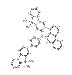 CC1(C)c2ccccc2-c2ccc(-c3ccc(N(c4ccc5c(c4)C(C)(C)c4ccccc4-5)c4cc5ccccc5c5ccccc45)cc3)cc21